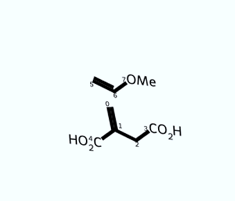 C=C(CC(=O)O)C(=O)O.C=COC